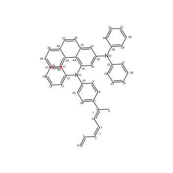 C=C/C=C\C=C(/C)c1ccc(N(c2ccccc2)c2cc(N(c3ccccc3)c3ccccc3)cc3ccc4ccccc4c23)cc1